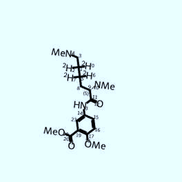 [2H]C([2H])(CNC)C([2H])([2H])C[C@H](NC)C(=O)Nc1ccc(OC)c(C(=O)OC)c1